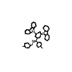 Cc1ccc(C/N=C(\c2ccc(C)cc2)c2cc(-n3c4ccccc4c4ccccc43)cc(-n3c4ccccc4c4ccccc43)c2)cc1